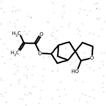 C=C(C)C(=O)OC1CC2CC1CC21CCOC1O